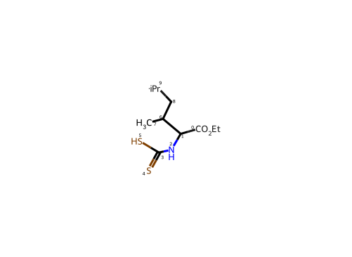 CCOC(=O)C(NC(=S)S)C(C)C[C](C)C